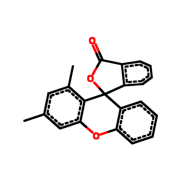 Cc1cc(C)c2c(c1)Oc1ccccc1C21OC(=O)c2ccccc21